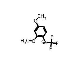 COc1ccc([Se]C(F)(F)F)c(OC)c1